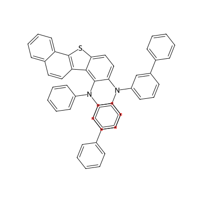 c1ccc(-c2cccc(N(c3ccccc3)c3ccc4sc5c6ccccc6ccc5c4c3N(c3ccccc3)c3cccc(-c4ccccc4)c3)c2)cc1